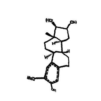 COc1cc2c(cc1O)CC[C@@H]1[C@@H]2CC[C@]2(C)[C@@H](O)C(O)C[C@@H]12